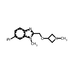 CC(C)c1ccc2nc(COC3CN(C)C3)n(C)c2c1